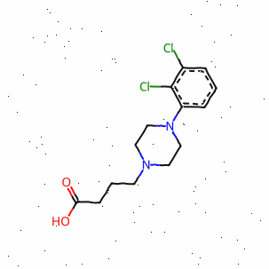 O=C(O)CCCN1CCN(c2cccc(Cl)c2Cl)CC1